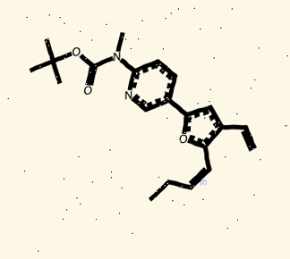 C=Cc1cc(-c2ccc(N(C)C(=O)OC(C)(C)C)nc2)oc1/C=C\CC